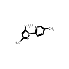 CCOC(=O)c1cc(C)nn1-c1ccc(C)cn1